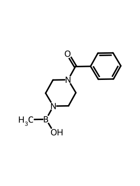 CB(O)N1CCN(C(=O)c2ccccc2)CC1